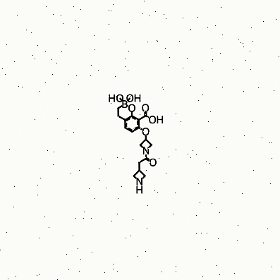 O=C(O)c1c(OC2CN(C(=O)CC3CNC3)C2)ccc2c1O[B-](O)(O)CC2